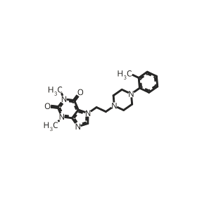 Cc1ccccc1N1CCN(CCn2cnc3c2c(=O)n(C)c(=O)n3C)CC1